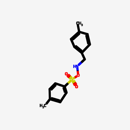 Cc1ccc(CNOS(=O)(=O)c2ccc(C)cc2)cc1